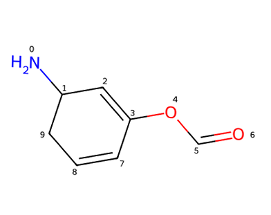 NC1C=C(OC=O)C=CC1